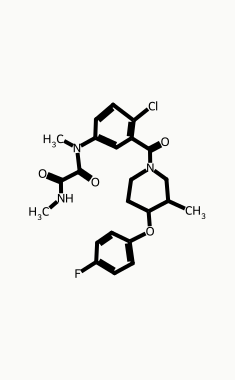 CNC(=O)C(=O)N(C)c1ccc(Cl)c(C(=O)N2CCC(Oc3ccc(F)cc3)C(C)C2)c1